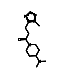 CN(C)C1CCN(C(=O)CCc2nccn2C)CC1